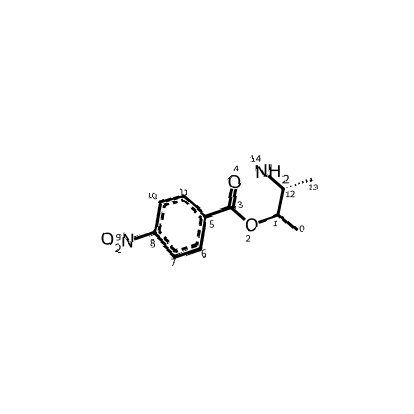 CC(OC(=O)c1ccc([N+](=O)[O-])cc1)[C@@H](C)N